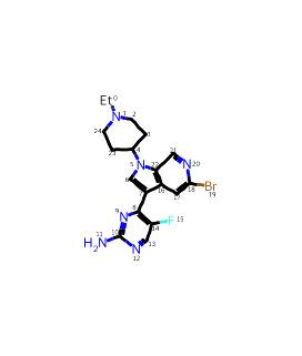 CCN1CCC(n2cc(-c3nc(N)ncc3F)c3cc(Br)ncc32)CC1